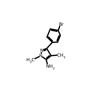 Cc1c(-c2ccc(Br)cc2)nn(C)c1N